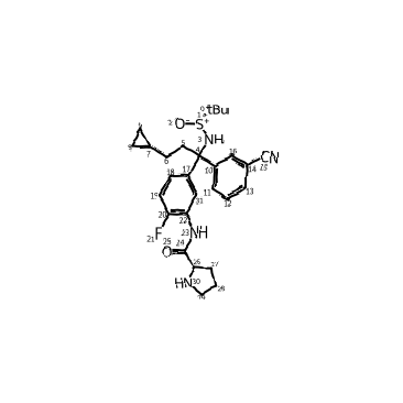 CC(C)(C)[S@@+]([O-])NC(CCC1CC1)(c1cccc(C#N)c1)c1ccc(F)c(NC(=O)[C@H]2CCCN2)c1